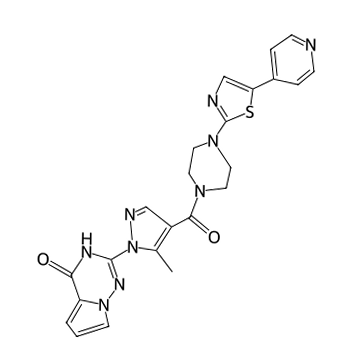 Cc1c(C(=O)N2CCN(c3ncc(-c4ccncc4)s3)CC2)cnn1-c1nn2cccc2c(=O)[nH]1